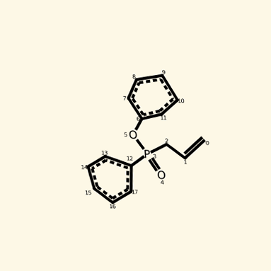 C=CCP(=O)(Oc1ccccc1)c1ccccc1